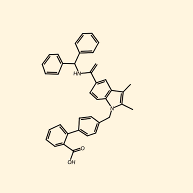 C=C(NC(c1ccccc1)c1ccccc1)c1ccc2c(c1)c(C)c(C)n2Cc1ccc(-c2ccccc2C(=O)O)cc1